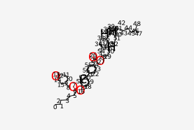 CCCCCCC(OCC1CCC2OC2C1)Oc1ccc(-c2ccc(C(=O)O[C@H]3CC[C@@]4(C)C(=CC[C@H]5[C@@H]6CC[C@H]([C@H](C)CCCC(C)C)[C@@]6(C)CC[C@@H]54)C3)cc2)cc1